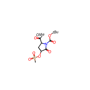 COC(=O)C1CC(OS(C)(=O)=O)C(=O)N1C(=O)OC(C)(C)C